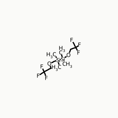 C[Si](C)(OCC(F)(F)F)[Si](C)(C)OCC(F)(F)F